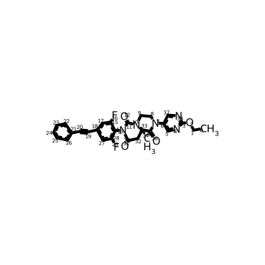 CCOc1ncc(N2CCN3C(=O)N(c4c(F)cc(C#Cc5ccccc5)cc4F)C(=O)C[C@@]3(C)C2=O)cn1